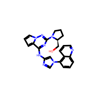 OC[C@@H]1CCCN1c1nc(Nc2cn(-c3cccc4ncccc34)cn2)c2cccn2n1